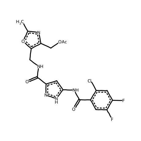 CC(=O)OCc1nc(C)oc1CNC(=O)c1cc(NC(=O)c2cc(F)c(F)cc2Cl)[nH]n1